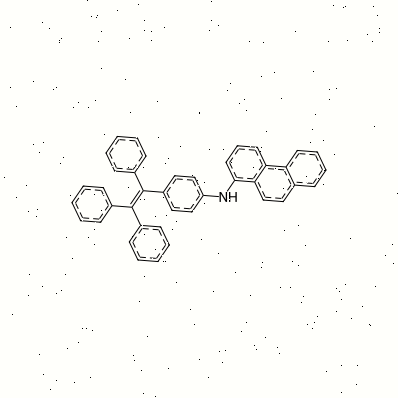 c1ccc(C(=C(c2ccccc2)c2ccc(Nc3cccc4c3ccc3ccccc34)cc2)c2ccccc2)cc1